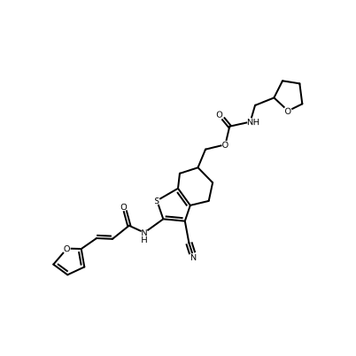 N#Cc1c(NC(=O)C=Cc2ccco2)sc2c1CCC(COC(=O)NCC1CCCO1)C2